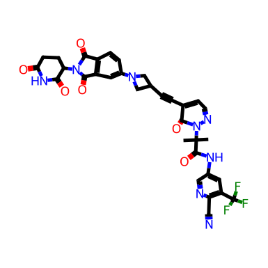 CC(C)(C(=O)Nc1cnc(C#N)c(C(F)(F)F)c1)n1nccc(C#CC2CN(c3ccc4c(c3)C(=O)N(C3CCC(=O)NC3=O)C4=O)C2)c1=O